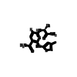 CC[C@@H](Nc1nc(Nc2cc(C)ns2)c(C(N)=O)cc1F)C(N)=O